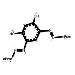 CCCCCN=Nc1cc(N=NCCCCC)c(O)cc1O